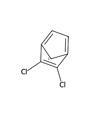 ClC1=C(Cl)C2=CC=C1[C]2